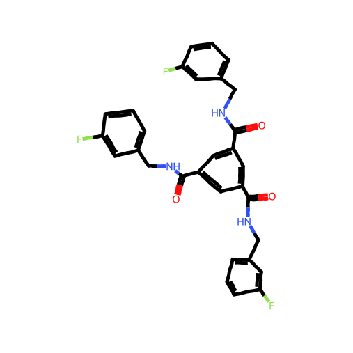 O=C(NCc1cccc(F)c1)c1cc(C(=O)NCc2cccc(F)c2)cc(C(=O)NCc2cccc(F)c2)c1